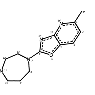 Cc1ccc2oc(N3CCCNCC3)nc2n1